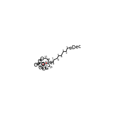 CCCCCCCCCCCCCCCCCC[N+]12CCOOP(=O)(OOCC1)OOCC2